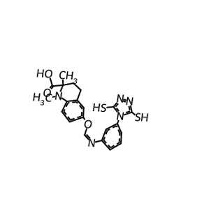 CN1c2ccc(O/C=N\c3cccc(-n4c(S)nnc4S)c3)cc2CCC1(C)C(=O)O